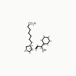 O=C(O)CCCCCC[C@@H]1COC[C@H]1/C=C/C(O)C1CCCCC1